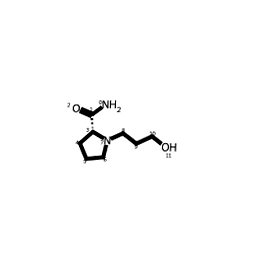 NC(=O)[C@H]1CCCN1CCCO